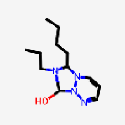 CCCCC1N(CCC)C(O)N2N=CC=CN12